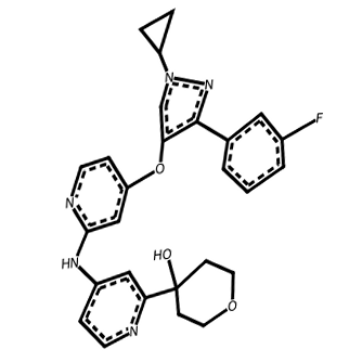 OC1(c2cc(Nc3cc(Oc4cn(C5CC5)nc4-c4cccc(F)c4)ccn3)ccn2)CCOCC1